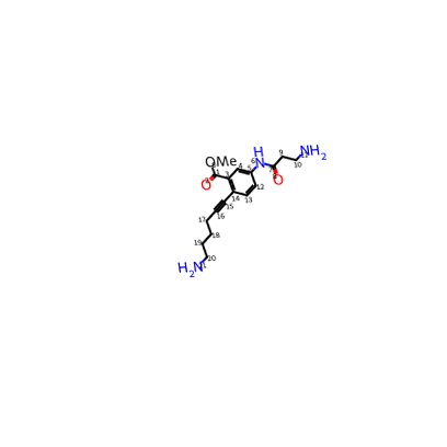 COC(=O)c1cc(NC(=O)CCN)ccc1C#CCCCCN